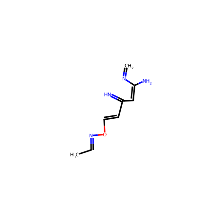 C=N/C(N)=C\C(=N)/C=C/O/N=C/C